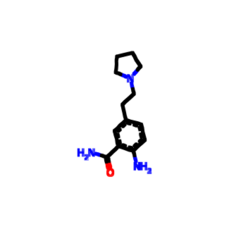 NC(=O)c1cc(CCN2CCCC2)ccc1N